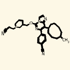 CC1CCCCC(c2c(-c3ccc(C#N)cc3)nc(OCC3CCCN(CCC#N)C3)n3ccnc23)CCC1